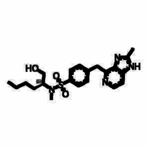 CCCC[C@@H](CO)N(C)S(=O)(=O)c1ccc(Cc2nccc3[nH]c(C)nc23)cc1